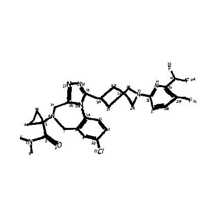 CN(C)C(=O)C1(N2Cc3cc(Cl)ccc3-n3c(nnc3C3CC4(C3)CN(c3ccc(F)c(C(F)F)n3)C4)C2)CC1